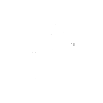 CCC(C)C(=O)OC1(CN)CCCCC1